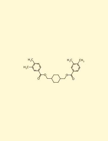 Cc1ccc(C(=O)OCC2CCC(COC(=O)c3ccc(C)c(C)c3)CC2)cc1C